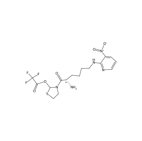 N[C@@H](CCCCNc1ncccc1[N+](=O)[O-])C(=O)N1CCSC1OC(=O)C(F)(F)F